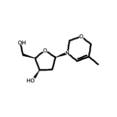 CC1=CN([C@H]2C[C@@H](O)[C@@H](CO)O2)COC1